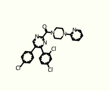 O=C(c1ncc(-c2ccc(Cl)cc2)c(-c2ccc(Cl)cc2Cl)n1)N1CCN(c2ccccn2)CC1